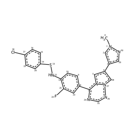 Cn1cc(-c2cc3c(-c4ccc(NSc5ccc(Cl)cc5)c(F)c4)ncnn3c2)cn1